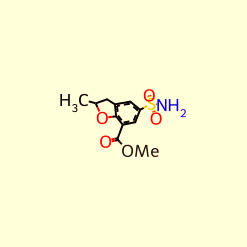 COC(=O)c1cc(S(N)(=O)=O)cc2c1OC(C)C2